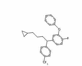 Fc1ccc(C(CCCC2CC2)c2ccc(C(F)(F)F)cc2)cc1Oc1ccccc1